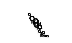 CCCCCCCCCC(=O)O[C@H]1CC[C@H]2[C@@H]3CCC4CC(=O)CC[C@]4(C)[C@H]3CC[C@]12C